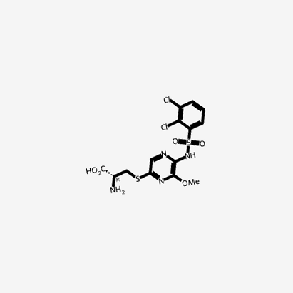 COc1nc(SC[C@H](N)C(=O)O)cnc1NS(=O)(=O)c1cccc(Cl)c1Cl